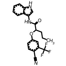 CCCC(Oc1ccc(C#N)c(C(F)(F)F)c1)C(=O)Nc1c[nH]c2ccccc12